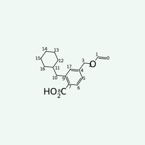 C=COCc1ccc(C(=O)O)c(CC2CCCCC2)c1